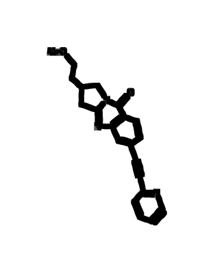 COCCC1Cc2nc3cc(C#Cc4ccc#cn4)ccc3c(=O)n2C1